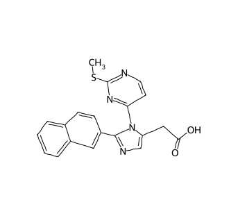 CSc1nccc(-n2c(CC(=O)O)cnc2-c2ccc3ccccc3c2)n1